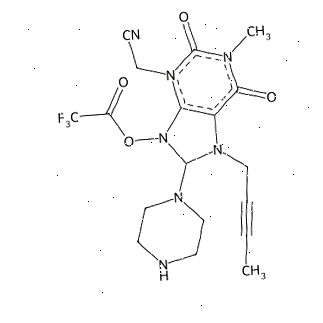 CC#CCN1c2c(n(CC#N)c(=O)n(C)c2=O)N(OC(=O)C(F)(F)F)C1N1CCNCC1